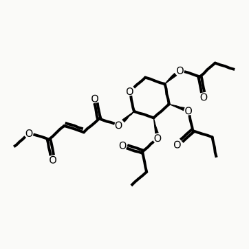 CCC(=O)O[C@H]1[C@@H](OC(=O)/C=C/C(=O)OC)OC[C@@H](OC(=O)CC)[C@H]1OC(=O)CC